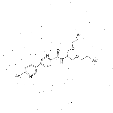 CC(=O)CCOCC(COCCC(C)=O)NC(=O)c1ccc(-c2ccc(C(C)=O)nc2)cn1